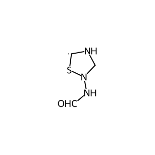 O=CNN1CN[CH]S1